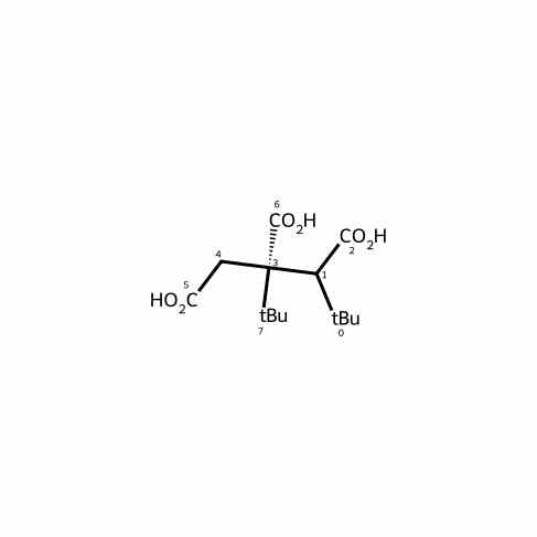 CC(C)(C)C(C(=O)O)[C@@](CC(=O)O)(C(=O)O)C(C)(C)C